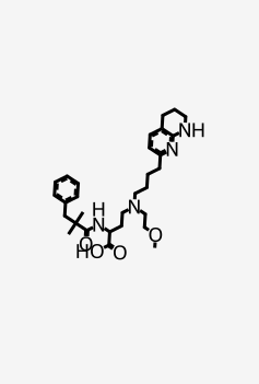 COCCN(CCCCc1ccc2c(n1)NCCC2)CCC(NC(=O)C(C)(C)Cc1ccccc1)C(=O)O